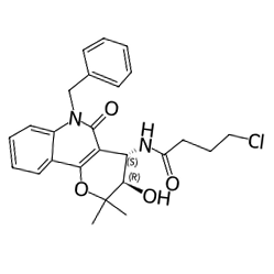 CC1(C)Oc2c(c(=O)n(Cc3ccccc3)c3ccccc23)[C@H](NC(=O)CCCCl)[C@H]1O